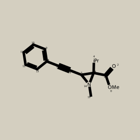 COC(=O)C1(C(C)C)C(C#Cc2ccccc2)N1C